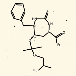 CC([SiH3])COC(C)(C)O[C@@H]1CN(C(=O)C(C)C)NC(=O)N[C@@H]1Cc1ccccc1